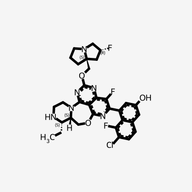 CC[C@@H]1NCCN2c3nc(OC[C@@]45CCCN4C[C@H](F)C5)nc4c(F)c(-c5cc(O)cc6ccc(Cl)c(F)c56)nc(c34)OC[C@H]12